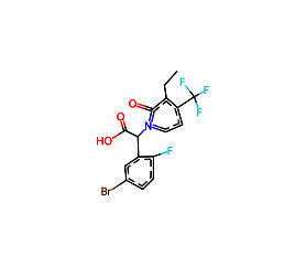 CCc1c(C(F)(F)F)ccn(C(C(=O)O)c2cc(Br)ccc2F)c1=O